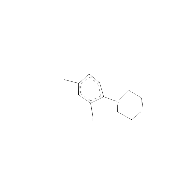 O=[C]c1ccc(N2CCOCC2)c(F)c1